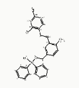 Cc1ccc(CO[Si](c2ccccc2)(c2ccccc2)C(C)(C)C)cc1NCc1cnc(Cl)nc1Cl